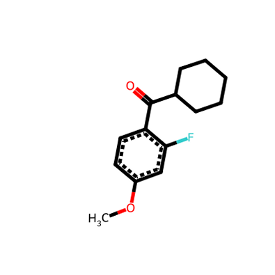 COc1ccc(C(=O)C2CCCCC2)c(F)c1